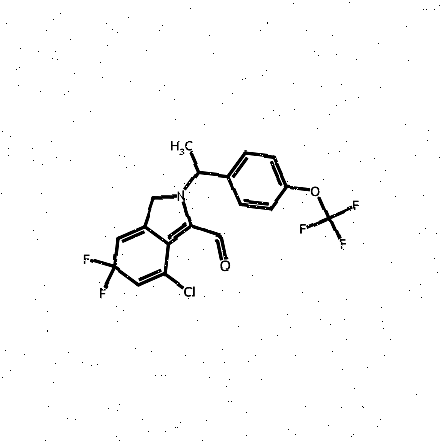 CC(c1ccc(OC(F)(F)F)cc1)N1CC2=CC(F)(F)C=C(Cl)C2=C1C=O